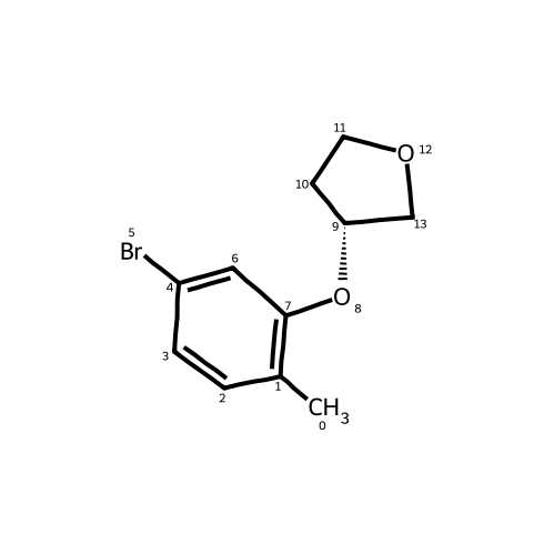 Cc1ccc(Br)cc1O[C@@H]1CCOC1